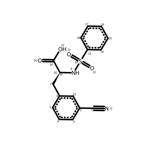 N#Cc1cccc(C[C@H](NS(=O)(=O)c2ccccc2)C(=O)O)c1